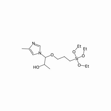 CCO[Si](CCCOC(C(C)O)n1cnc(C)c1)(OCC)OCC